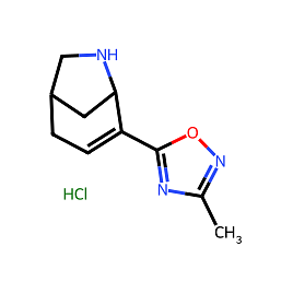 Cc1noc(C2=CCC3CNC2C3)n1.Cl